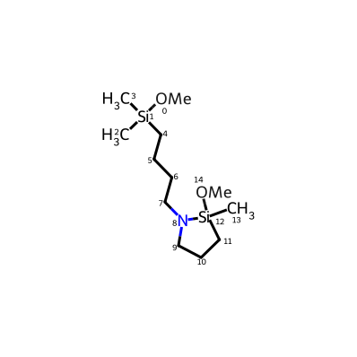 CO[Si](C)(C)CCCCN1CCC[Si]1(C)OC